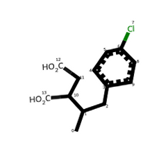 CC(Cc1ccc(Cl)cc1)C(CC(=O)O)C(=O)O